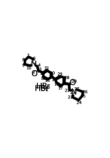 Br.Br.O=C(CN1CCCCC1)c1ccc(-c2ccc(C(=O)CN3CCCCC3)cc2)cc1